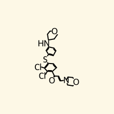 O=C(C=CN1CCOCC1)c1ccc(Sc2cccc(NC3CCOCC3)c2)c(Cl)c1Cl